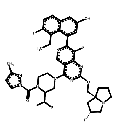 CCc1c(F)ccc2cc(O)cc(-c3ncc4c(N5CCN(C(=O)n6ccc(C)n6)C(C(F)F)C5)nc(OC[C@@]56CCCN5C[C@H](F)C6)nc4c3F)c12